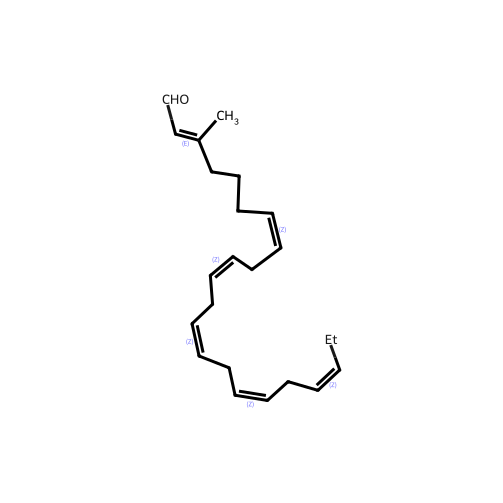 CC/C=C\C/C=C\C/C=C\C/C=C\C/C=C\CCC/C(C)=C/C=O